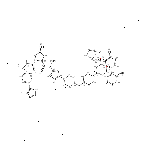 Cc1ncsc1-c1ccc([C@H](C)NC(=O)[C@@H]2C[C@@H](O)CN2C(=O)[C@@H](c2cc(N3CCC(CN4CCC(N5CCO[C@H](CN6C7CCC6CN(c6cc(-c8ccccc8O)nnc6N)C7)C5)CC4)CC3)no2)C(C)C)cc1